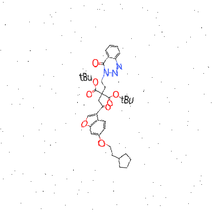 CC(C)(C)OC(=O)C(CCn1nnc2ccccc2c1=O)(CC(=O)c1coc2cc(OCCC3CCCC3)ccc12)C(=O)OC(C)(C)C